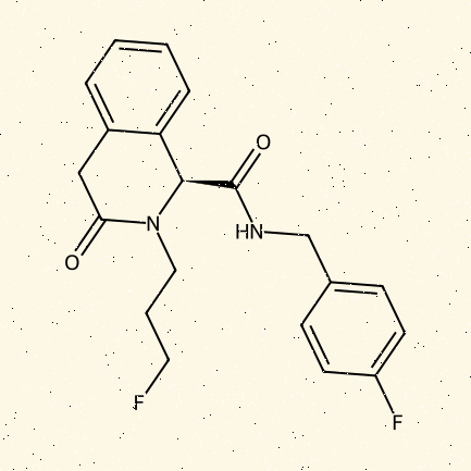 O=C(NCc1ccc(F)cc1)[C@@H]1c2ccccc2CC(=O)N1CCCF